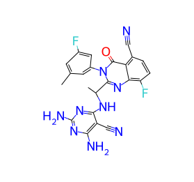 Cc1cc(F)cc(-n2c(C(C)Nc3nc(N)nc(N)c3C#N)nc3c(F)ccc(C#N)c3c2=O)c1